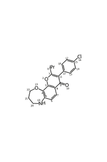 CC(C)c1oc2c3c(ccc2c(=O)c1-c1ccc(Cl)cc1)NCCCO3